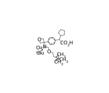 CC(C)(C)[S+]([O-])N(COCC[Si](C)(C)C)C1(c2ccc(C(C(=O)O)C3CCCC3)cc2)COC1